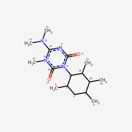 CC1CC(C)C(n2c(=O)nc(N(C)C)n(C)c2=O)C(C)C1C